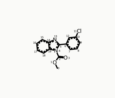 COC(=O)n1c(-c2cccc(Cl)c2)nc2ccccc21